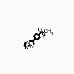 CN(F)C(=O)c1ccc(-c2cnc3nccn3c2)cc1